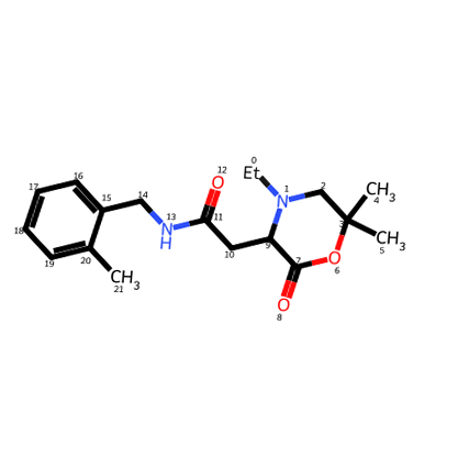 CCN1CC(C)(C)OC(=O)C1CC(=O)NCc1ccccc1C